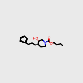 CCCCOC(=O)N1CC[C@@H](CCCc2ccccc2)[C@@H](O)C1